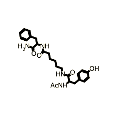 CC(=O)NC(Cc1ccc(O)cc1)C(=O)NCCCCCC(=O)NC(Cc1ccccc1)C(N)=O